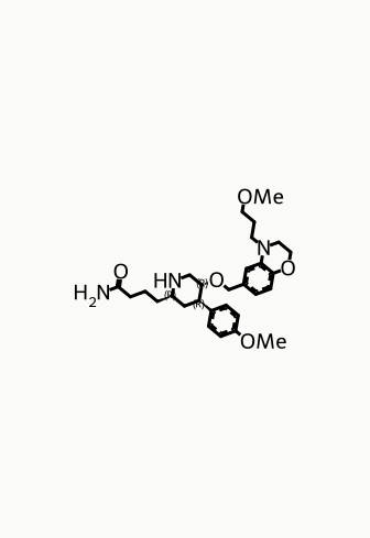 COCCCN1CCOc2ccc(CO[C@H]3CN[C@H](CCCC(N)=O)C[C@@H]3c3ccc(OC)cc3)cc21